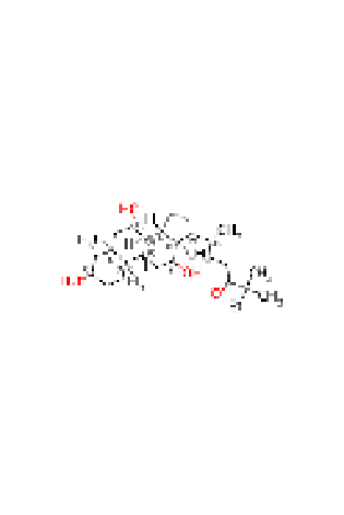 CCC(C)(C)C(=O)CC[C@@H](C)[C@H]1CC[C@H]2[C@@H]3[C@H](O)C[C@]4(C)C[C@H](O)CC[C@]4(C)[C@H]3C[C@H](O)[C@]12C